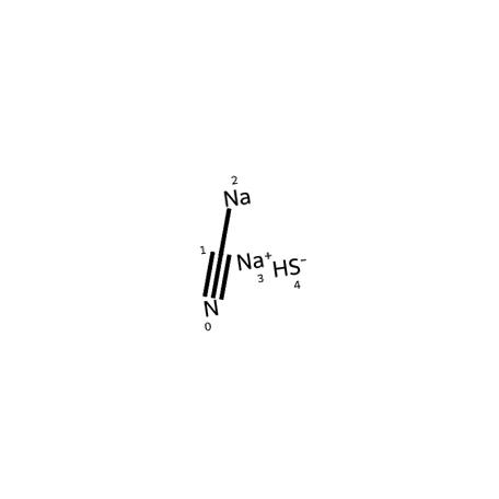 N#[C][Na].[Na+].[SH-]